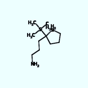 C[Si](C)(C)C1(CCCN)CCC[SiH2]1